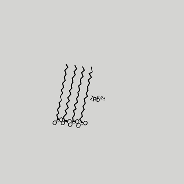 CCCCCCCCCCCCCCCCCC(=O)[O-].CCCCCCCCCCCCCCCCCC(=O)[O-].CCCCCCCCCCCCCCCCCC(=O)[O-].CCCCCCCCCCCCCCCCCC(=O)[O-].[Pb+2].[Zn+2]